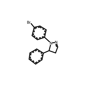 Brc1ccc(N2N=CCC2c2ccccc2)cc1